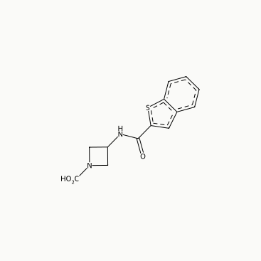 O=C(NC1CN(C(=O)O)C1)c1cc2ccccc2s1